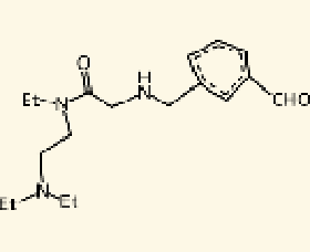 CCN(CC)CCN(CC)C(=O)CNCc1cccc(C=O)c1